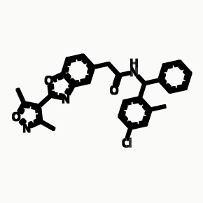 Cc1cc(Cl)ccc1C(NC(=O)Cc1ccc2oc(-c3c(C)noc3C)nc2c1)c1ccccc1